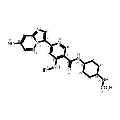 CC(C)Nc1cc(-c2cnc3cc(C#N)cnn23)ncc1C(=O)NC1CCC(NC(=O)O)CC1